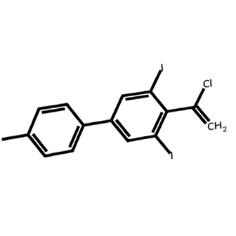 C=C(Cl)c1c(I)cc(-c2ccc(I)cc2)cc1I